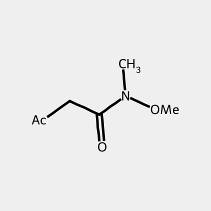 CON(C)C(=O)CC(C)=O